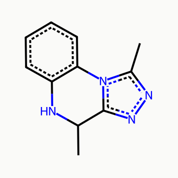 Cc1nnc2n1-c1ccccc1NC2C